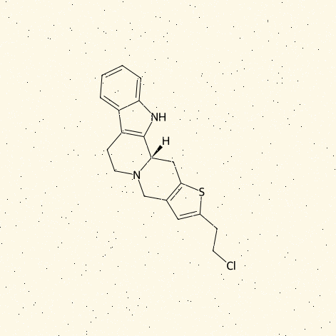 ClCCc1cc2c(s1)C[C@H]1c3[nH]c4ccccc4c3CCN1C2